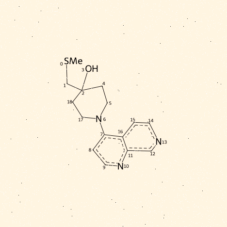 CSCC1(O)CCN(c2ccnc3cnccc23)CC1